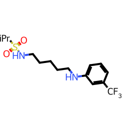 CC(C)S(=O)(=O)NCCCCCNc1cccc(C(F)(F)F)c1